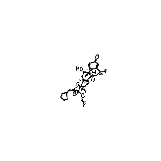 C[C@@H]1C[C@H]2[C@@H]3C[C@H](F)C4=CC(=O)C=C[C@]4(C)[C@@]3(F)[C@@H](O)C[C@]2(C)[C@@]1(OC(=O)CC1CCCC1)C(=O)OCF